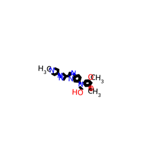 COc1cc(OC)cc(N(CCO)c2ccc3ncc(C4C=NN(C5CCN(C)CC5)C4)nc3c2)c1